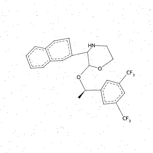 C[C@@H](OC1OCCNC1c1ccc2ccccc2c1)c1cc(C(F)(F)F)cc(C(F)(F)F)c1